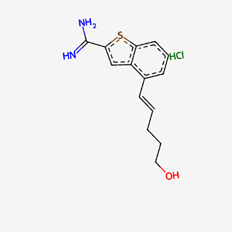 Cl.N=C(N)c1cc2c(/C=C/CCCO)cccc2s1